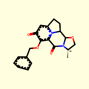 C[C@H]1COC2C3CCc4cc(=O)c(OCc5ccccc5)c(n43)C(=O)N21